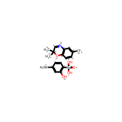 CC(=O)Nc1ccc([As](=O)(O)O)c(O)c1.CC1(C)C=Nc2cc(C(F)(F)F)ccc2O1